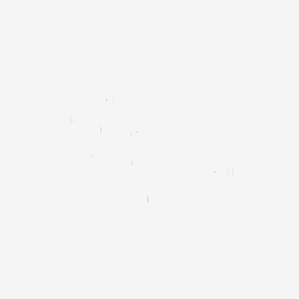 CP(=O)(O)OP(=O)(I)CCC(=O)O